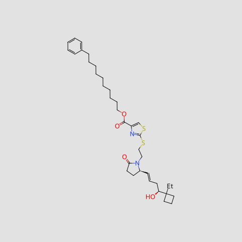 CCC1([C@@H](O)C/C=C/[C@H]2CCC(=O)N2CCSc2nc(C(=O)OCCCCCCCCCCc3ccccc3)cs2)CCC1